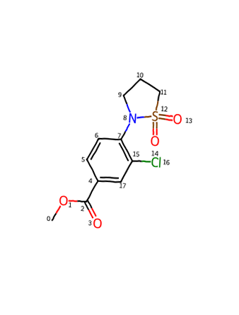 COC(=O)c1ccc(N2CCCS2(=O)=O)c(Cl)c1